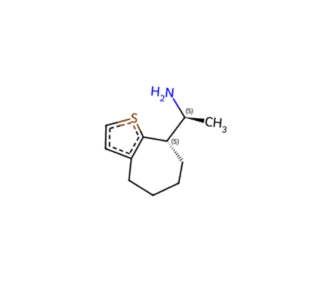 C[C@H](N)[C@@H]1CCCCc2ccsc21